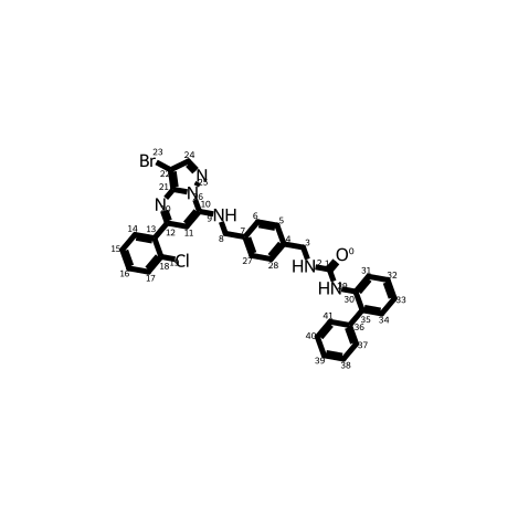 O=C(NCc1ccc(CNc2cc(-c3ccccc3Cl)nc3c(Br)cnn23)cc1)Nc1ccccc1-c1ccccc1